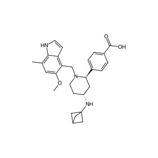 COc1cc(C)c2[nH]ccc2c1CN1CC[C@@H](NC23CC(C2)C3)C[C@@H]1c1ccc(C(=O)O)cc1